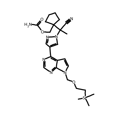 CC(C#N)(n1cc(-c2ncnc3c2ccn3COCC[Si](C)(C)C)cn1)C1(COC(N)=O)CCCC1